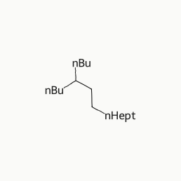 CCCCCCCCCC(CCCC)CCCC